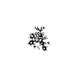 CCC(CC)NC(=O)C(C)(CC)n1c(=O)c2c(C)c(-n3cccn3)sc2n(C[C@H](OC2CCOCC2)c2ccccc2OC)c1=O